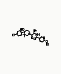 CCOc1ccc(C(=O)N[C@@H](C(=O)N2CC[C@](O)(c3ccc(Cl)cc3)C(C)(C)C2)C(C)C)cn1